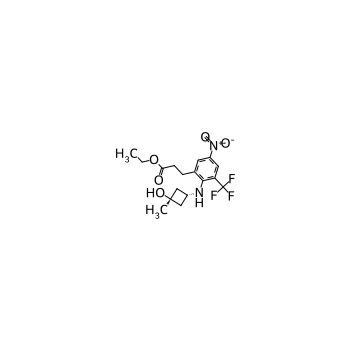 CCOC(=O)CCc1cc([N+](=O)[O-])cc(C(F)(F)F)c1N[C@H]1C[C@@](C)(O)C1